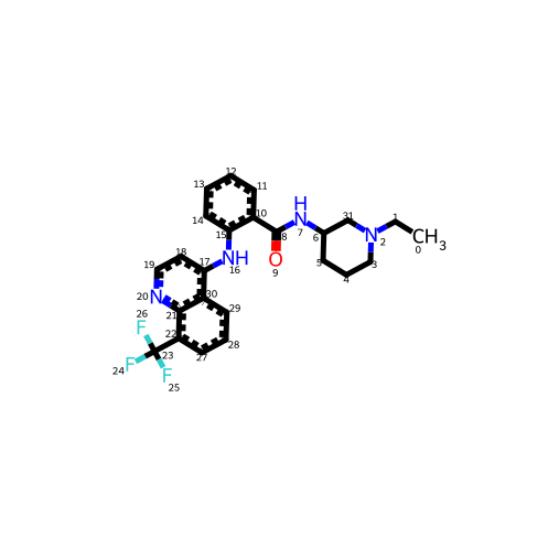 CCN1CCCC(NC(=O)c2ccccc2Nc2ccnc3c(C(F)(F)F)cccc23)C1